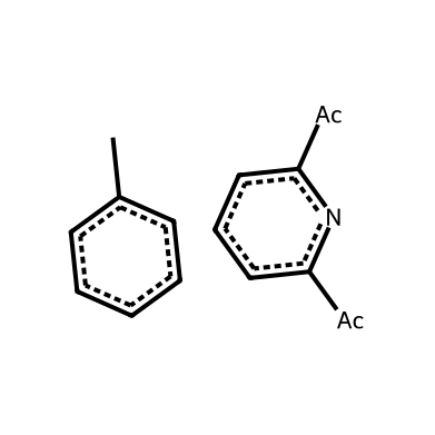 CC(=O)c1cccc(C(C)=O)n1.Cc1ccccc1